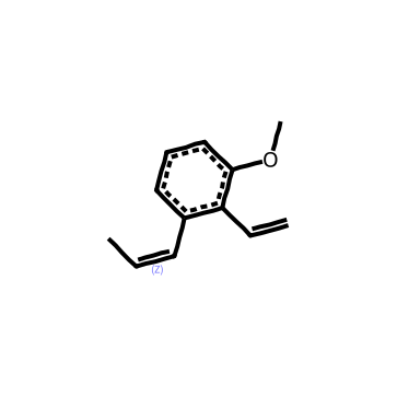 C=Cc1c(/C=C\C)cccc1OC